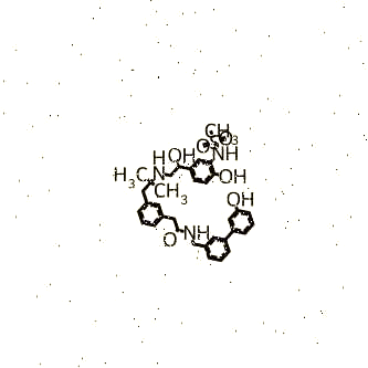 CC(C)(Cc1cccc(CC(=O)NCc2cccc(-c3cccc(O)c3)c2)c1)NC[C@@H](O)c1ccc(O)c(NS(C)(=O)=O)c1